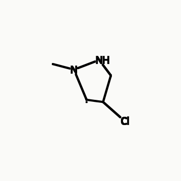 CN1[CH]C(Cl)CN1